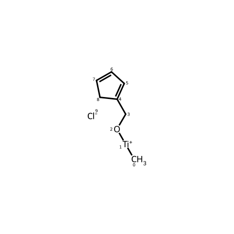 [CH3][Ti+][O]CC1=CC=CC1.[Cl-]